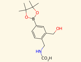 CC1(C)OB(c2ccc(CNC(=O)O)c(CO)c2)OC1(C)C